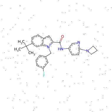 CC(C)(C)c1ccc2cc(C(=O)Nc3ccc(N4CCC4)nc3)n(Cc3cccc(F)c3)c2c1